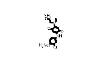 CCN(CCON)C1=CC(=O)C(Nc2ccc(ON)c(Cl)c2)=CC1=O